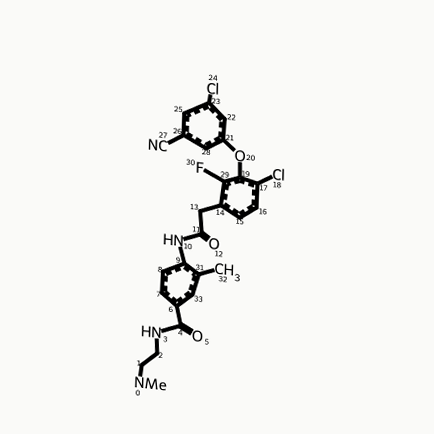 CNCCNC(=O)c1ccc(NC(=O)Cc2ccc(Cl)c(Oc3cc(Cl)cc(C#N)c3)c2F)c(C)c1